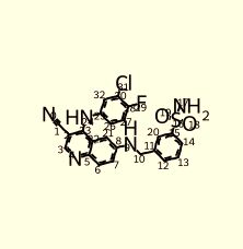 N#Cc1cnc2ccc(NCc3cccc(S(N)(=O)=O)c3)cc2c1Nc1ccc(F)c(Cl)c1